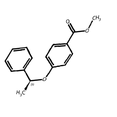 COC(=O)c1ccc(O[C@@H](C)c2ccccc2)cc1